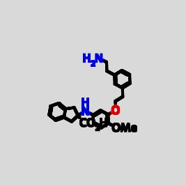 COc1ccc(NC2(C(=O)O)Cc3ccccc3C2)cc1OCCc1cccc(CCN)c1